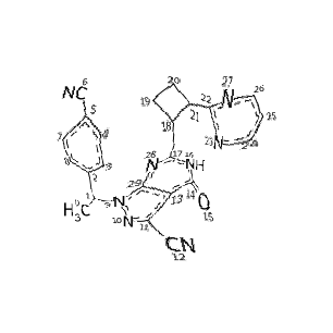 CC(c1ccc(C#N)cc1)n1nc(C#N)c2c(=O)[nH]c(C3CCC3c3ncccn3)nc21